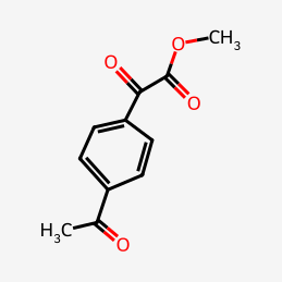 COC(=O)C(=O)c1ccc(C(C)=O)cc1